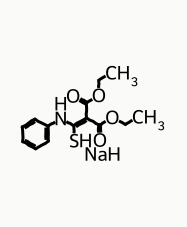 CCOC(=O)C(C(=O)OCC)=C(S)Nc1ccccc1.[NaH]